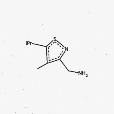 Cc1c(CN)nsc1C(C)C